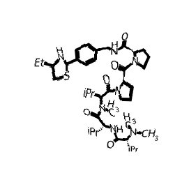 CCC1CSC(c2ccc(CNC(=O)[C@H]3CCCN3C(=O)[C@H]3CCCN3C(=O)C(C(C)C)N(C)C(=O)[C@H](NC(=O)[C@@H](C(C)C)N(C)C)C(C)C)cc2)N1